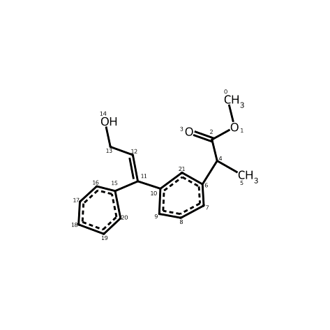 COC(=O)C(C)c1cccc(C(=CCO)c2ccccc2)c1